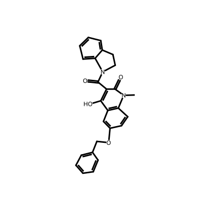 Cn1c(=O)c(C(=O)N2CCc3ccccc32)c(O)c2cc(OCc3ccccc3)ccc21